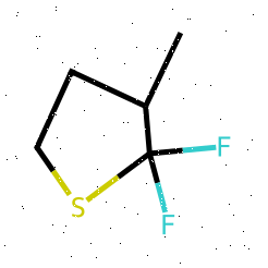 CC1CCSC1(F)F